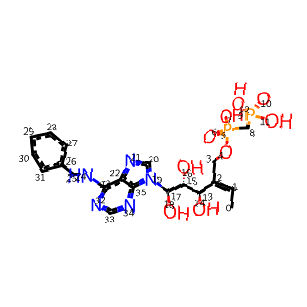 C/C=C(/COP(=O)(O)CP(=O)(O)O)[C@@H](O)[C@@H](O)[C@@H](O)n1cnc2c(NCc3ccccc3)ncnc21